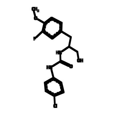 COc1ccc(CC(CO)NC(=O)Nc2ccc(Cl)cc2)cc1F